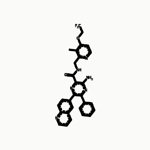 Cc1c(OCC(F)(F)F)ccnc1CNC(=O)c1nc(-c2ccc3ncccc3c2)c(-c2ccccc2)nc1N